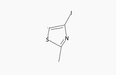 Cc1nc(I)[c]s1